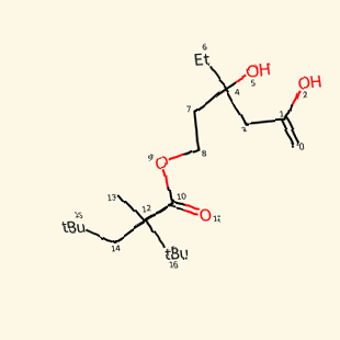 C=C(O)CC(O)(CC)CCOC(=O)C(C)(CC(C)(C)C)C(C)(C)C